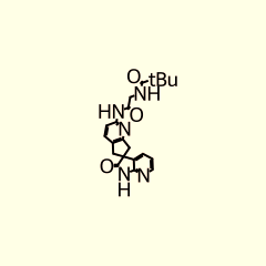 CC(C)(C)C(=O)NCC(=O)Nc1ccc2c(n1)CC1(C2)C(=O)Nc2ncccc21